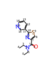 CCN(CC)C(=O)c1csc(-c2cccnc2)n1